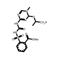 COC(=O)c1ccccc1S(=O)(=O)NC(=O)NC1=NC(OC(C)C(=O)O)N(C)C=N1